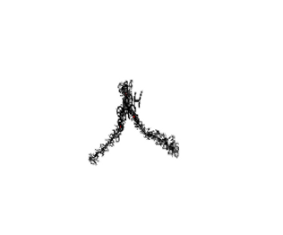 CCCCCCCCCCCCCCSSCCOC(=O)CCN(CCC(=O)OCCSSCCCCCCCCCCCCCC)CC(O)c1ccccc1